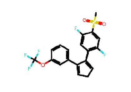 CS(=O)(=O)c1cc(F)c(C2=CCC=C2c2cccc(OC(F)(F)F)c2)cc1F